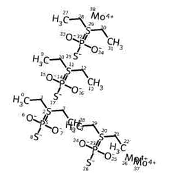 CCS(CC)=P([O-])([O-])[S-].CCS(CC)=P([O-])([O-])[S-].CCS(CC)=P([O-])([O-])[S-].CCS(CC)=P([O-])([O-])[S-].[Mo+4].[Mo+4].[Mo+4]